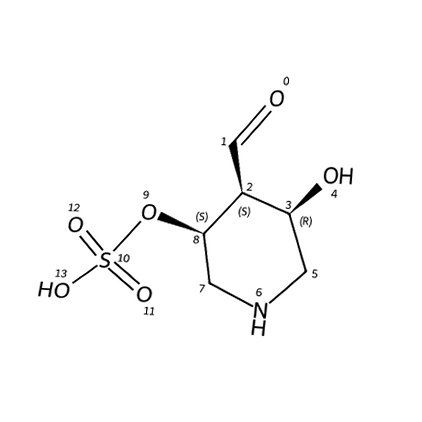 O=C[C@H]1[C@@H](O)CNC[C@H]1OS(=O)(=O)O